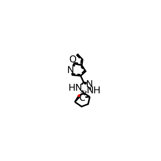 c1cc2cc(C3=NN[C@]4(CC5CCC4CC5)N3)cnc2o1